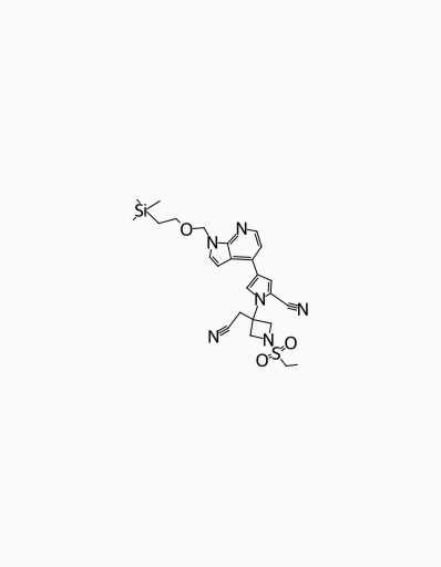 CCS(=O)(=O)N1CC(CC#N)(n2cc(-c3ccnc4c3ccn4COCC[Si](C)(C)C)cc2C#N)C1